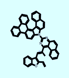 C=Cc1oc2ccccc2c1/C=C(\C)c1nc(-n2c3ccc4ccccc4c3c3c4c5ccccc5c5ccccc5c4ccc32)nc2ccc3ccccc3c12